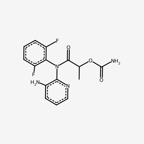 CC(OC(N)=O)C(=O)N(c1ncccc1N)c1c(F)cccc1F